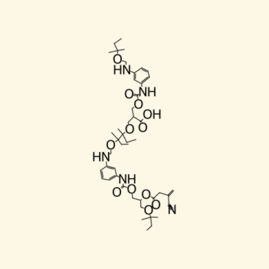 C=C(C#N)CC(=O)OC(COC(=O)Nc1cccc(NCOC(C)(CC)C(C)(CC)OCC(COC(=O)Nc2cccc(NCOC(C)(C)CC)c2)C(=O)O)c1)COC(C)(C)CC